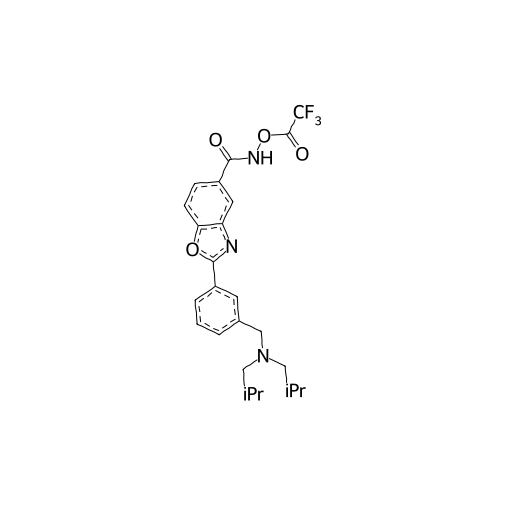 CC(C)CN(Cc1cccc(-c2nc3cc(C(=O)NOC(=O)C(F)(F)F)ccc3o2)c1)CC(C)C